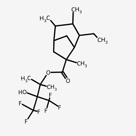 CCC1C(C)C(C)C2CC1C(C)(C(=O)OC(C)(C)C(O)(C(F)(F)F)C(F)(F)F)C2